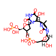 Cc1cn2c(=O)nc1[C@@H]1N(C(=O)NC(=O)[C@]1(C)O)[C@H]1C[C@H](OP(=O)(O)OC[C@H]3O[C@@H]2C[C@@H]3O)[C@@H](COP(=O)(O)O)O1